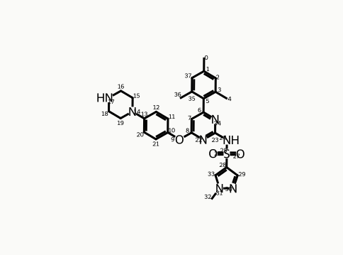 Cc1cc(C)c(-c2cc(Oc3ccc(N4CCNCC4)cc3)nc(NS(=O)(=O)c3cnn(C)c3)n2)c(C)c1